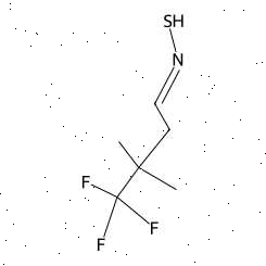 CC(C)(C/C=N/S)C(F)(F)F